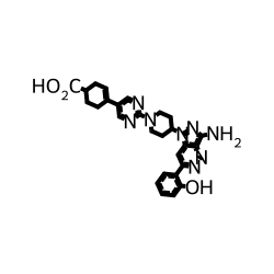 Nc1nn(C2CCN(c3ncc(C4=CCC(C(=O)O)CC4)cn3)CC2)c2cc(-c3ccccc3O)nnc12